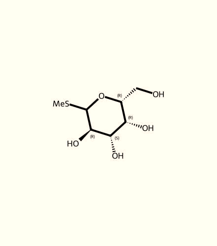 CSC1O[C@H](CO)[C@H](O)[C@H](O)[C@H]1O